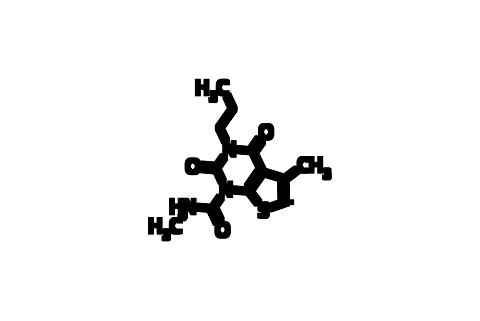 CCCn1c(=O)c2c(C)[c]sc2n(C(=O)NC)c1=O